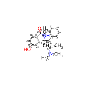 C/C(CN(C)C)=C(\c1ccccc1C)C1(C)NC(=O)c2ccc(O)cc21